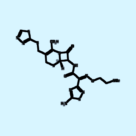 CSCCON=C(C(=O)NC1C(=O)N2C(C(=O)O)=C(CSc3nncs3)CS[C@@H]12)c1nsc(N)n1